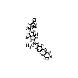 CN(Cc1cccc(Oc2cccnc2)c1)[C@H]1C[C@@H]2CN(C(=O)n3cc(Cl)cn3)C[C@@H]2C1